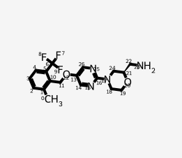 Cc1cccc(C(F)(F)F)c1COc1cnc(N2CCO[C@H](CN)C2)nc1